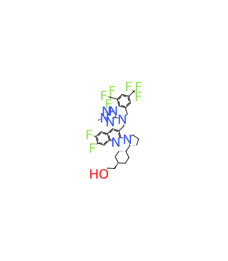 Cn1nnc(N(Cc2cc(C(F)(F)F)cc(C(F)(F)F)c2)Cc2cc3cc(F)c(F)cc3nc2N2CCC[C@@H]2[C@H]2CC[C@H](CCO)CC2)n1